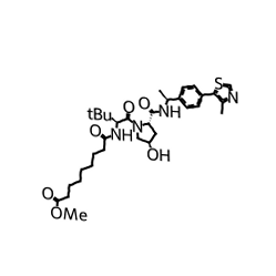 COC(=O)CCCCCCCC(=O)N[C@H](C(=O)N1C[C@H](O)C[C@H]1C(=O)N[C@@H](C)c1ccc(-c2scnc2C)cc1)C(C)(C)C